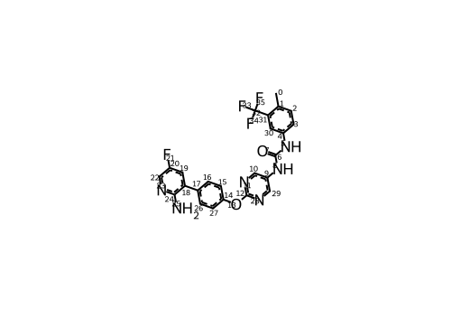 Cc1ccc(NC(=O)Nc2cnc(Oc3ccc(-c4cc(F)cnc4N)cc3)nc2)cc1C(F)(F)F